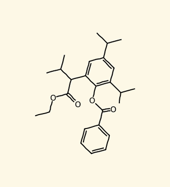 CCOC(=O)C(c1cc(C(C)C)cc(C(C)C)c1OC(=O)c1ccccc1)C(C)C